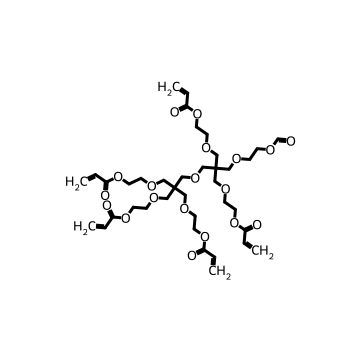 C=CC(=O)OCCOCC(COCCOC=O)(COCCOC(=O)C=C)COCC(COCCOC(=O)C=C)(COCCOC(=O)C=C)COCCOC(=O)C=C